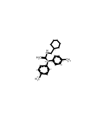 C=C(NCC1CCCCC1)N(c1ccc(C)cc1)c1ccc(C)cc1